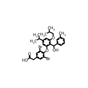 Cc1cccc(C(O)c2c(OCC(C)C)cc(C(C)C)cc2Oc2c(Br)cc(CC(=O)O)cc2Br)c1